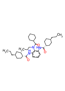 CCCN(C(=O)C1CCCCC1)c1c(NC(=O)[C@H]2CC[C@H](CCC)CC2)cccc1NC(=O)[C@H]1CC[C@H](CCC)CC1